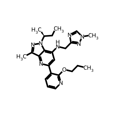 CCCOc1ncccc1-c1cc(NCc2ncn(C)n2)c2c(n1)c(C)nn2[C@@H](C)CC